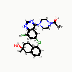 CCCC(=O)N1CCN(c2ncnc3c(F)c([C@H]4CC(C)(O)Cc5ccccc54)c(Cl)cc23)CC1